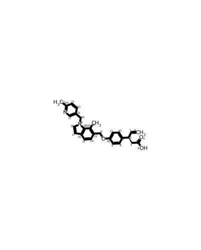 C=C[C@@H](CC(=O)O)c1ccc(OCc2ccc3ccn(Cc4ccc(C)nc4)c3c2C)cc1